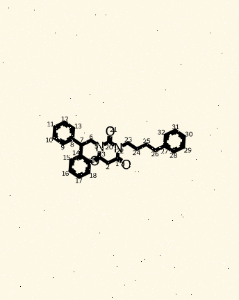 O=C1CC(=O)N(CC(c2ccccc2)c2ccccc2)C(=O)N1CCCCc1ccccc1